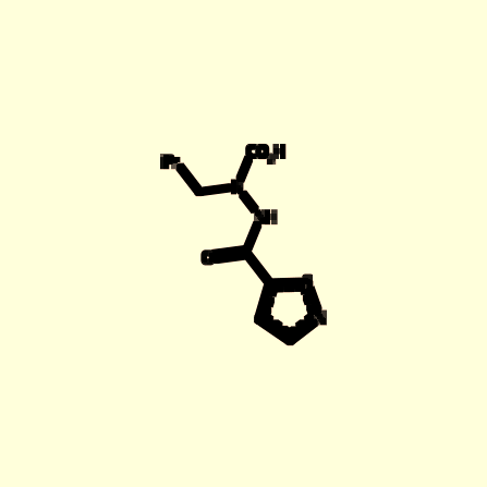 CC(C)CN(NC(=O)c1ccns1)C(=O)O